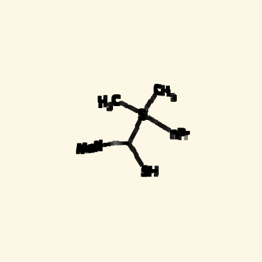 CCC[Si](C)(C)C(S)NC